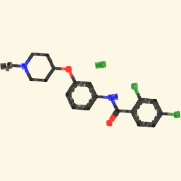 CN1CCC(Oc2cccc(NC(=O)c3ccc(Cl)cc3Cl)c2)CC1.Cl